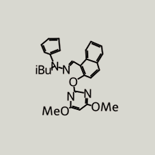 CCC(C)N(N=Cc1c(Oc2nc(OC)cc(OC)n2)ccc2ccccc12)c1ccccc1